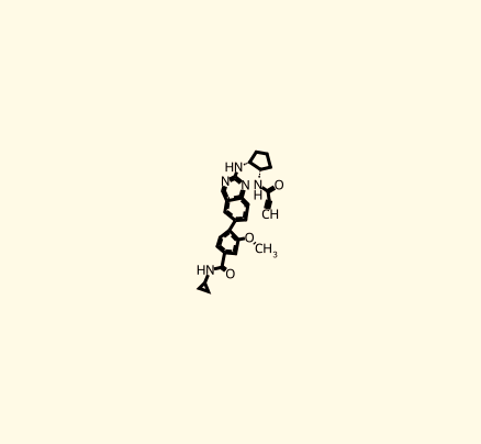 C#CC(=O)N[C@H]1CCC[C@H]1Nc1ncc2cc(-c3ccc(C(=O)NC4CC4)cc3OC)ccc2n1